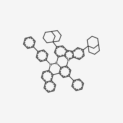 c1ccc(-c2ccc(N3B4c5c(cc(-c6ccccc6)cc5-n5c6ccc(C78CCCC(CCC7)C8)cc6c6cc(C78CCCC(CCC7)C8)cc4c65)-c4c3ccc3ccccc43)cc2)cc1